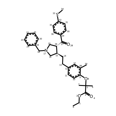 CCOC(=O)C(C)(C)Oc1ccc(CC[C@H]2CN(Cc3ccccc3)C[C@@H]2C(=O)c2ccc(SC)cc2)cc1C